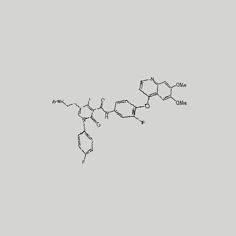 COc1cc2nccc(Oc3ccc(NC(=O)c4c(C)c(CCNC(C)=O)cn(-c5ccc(F)cc5)c4=O)cc3F)c2cc1OC